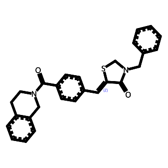 O=C1/C(=C/c2ccc(C(=O)N3CCc4ccccc4C3)cc2)SCN1Cc1ccccc1